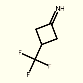 N=C1CC(C(F)(F)F)C1